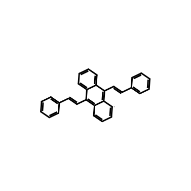 [c]1cccc2c(C=Cc3ccccc3)c3ccccc3c(C=Cc3ccccc3)c12